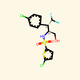 O=S(=O)(N[C@H](CO)[C@H](c1ccc(Cl)cc1)C(F)F)c1ccc(Cl)s1